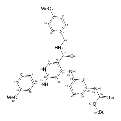 COc1ccc(CNC(=O)c2cnc(Nc3cccc(OC)c3)nc2Nc2cccc(NC(=O)OC(C)(C)C)c2)cc1